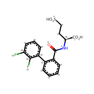 O=C(N[C@@H](CCS(=O)(=O)O)C(=O)O)c1ccccc1-c1cccc(F)c1F